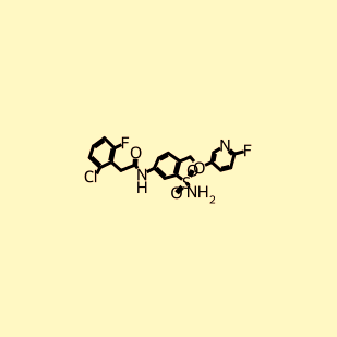 NS(=O)(=O)c1cc(NC(=O)Cc2c(F)cccc2Cl)ccc1COc1ccc(F)nc1